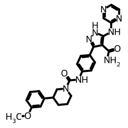 COc1cccc(C2CCCN(C(=O)Nc3ccc(-c4n[nH]c(Nc5cnccn5)c4C(N)=O)cc3)C2)c1